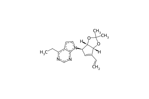 C=CC1=C[C@@H](n2ccc3c(CC)ncnc32)[C@@H]2OC(C)(C)O[C@H]12